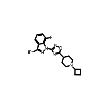 CC(C)c1nn(-c2noc(C3CCN(C4CCC4)CC3)n2)c2c(F)cccc12